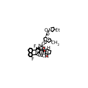 C#Cc1c(F)ccc2cccc(-c3nc4c5c(nc(OC[C@@]67CC[C@@H](COC(=O)N8CC[C@@H](CC)C8)N6CC(=C)C7)nc5c3F)N3C[C@H]5CC[C@@H]([C@H]3CCO4)N5C(=O)OC(C)(C)C)c12